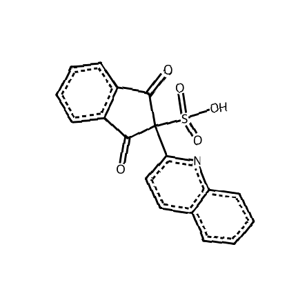 O=C1c2ccccc2C(=O)C1(c1ccc2ccccc2n1)S(=O)(=O)O